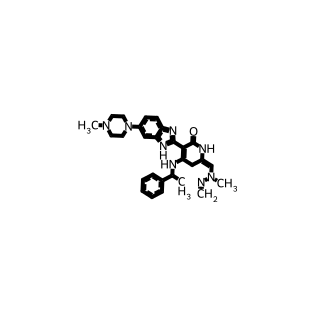 C=NN(C)/C=C1\CC(NC(C)c2ccccc2)=C(c2nc3ccc(N4CCN(C)CC4)cc3[nH]2)C(=O)N1